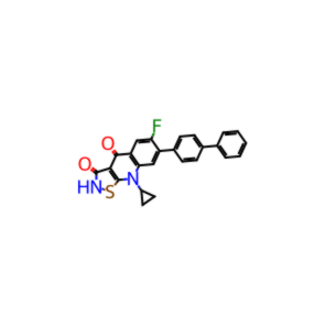 O=c1[nH]sc2c1c(=O)c1cc(F)c(-c3ccc(-c4ccccc4)cc3)cc1n2C1CC1